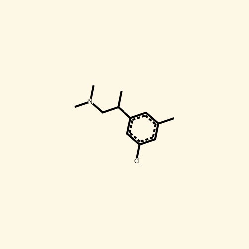 Cc1cc(Cl)cc(C(C)CN(C)C)c1